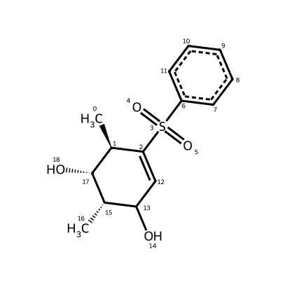 C[C@H]1C(S(=O)(=O)c2ccccc2)=CC(O)[C@H](C)[C@@H]1O